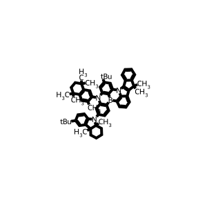 Cc1cc2c(cc1N1c3cc(N4c5ccc(C(C)(C)C)cc5C5(C)CCCCC45C)ccc3B3c4c1cc(C(C)(C)C)cc4-n1c4c(c5cccc3c51)C(C)(C)c1ccccc1-4)C(C)(C)CCC2(C)C